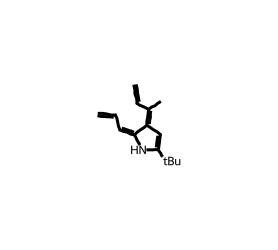 C=C/C=c1/[nH]c(C(C)(C)C)c/c1=C(\C)C=C